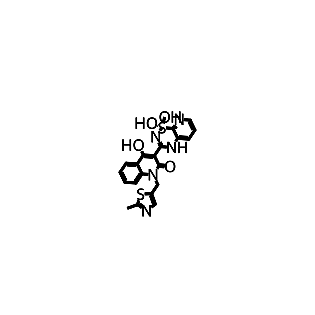 Cc1ncc(Cn2c(=O)c(C3=NS(O)(O)c4ncccc4N3)c(O)c3ccccc32)s1